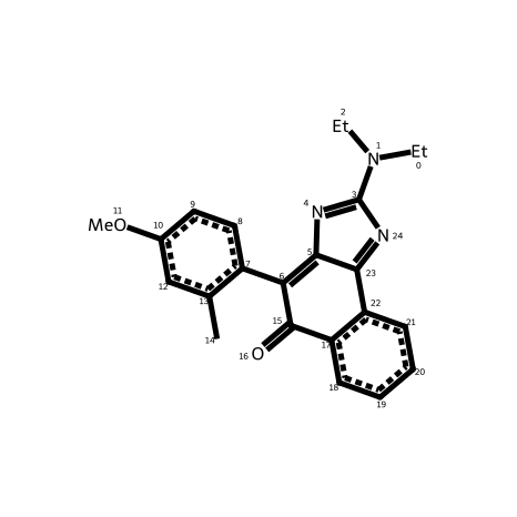 CCN(CC)C1=NC2=C(c3ccc(OC)cc3C)C(=O)c3ccccc3C2=N1